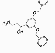 NCCC(O)c1cc(OCc2ccccc2)cc(OCc2ccccc2)c1